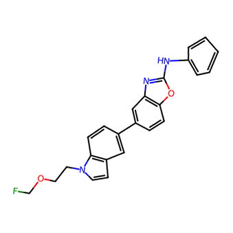 FCOCCn1ccc2cc(-c3ccc4oc(Nc5ccccc5)nc4c3)ccc21